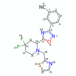 N#Cc1cccc(-c2noc(C3CC(F)(F)CCN3Cc3nccs3)n2)c1